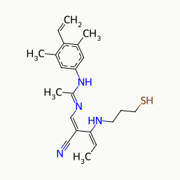 C=Cc1c(C)cc(N/C(C)=N/C=C(C#N)\C(=C/C)NCCCS)cc1C